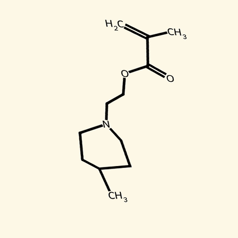 C=C(C)C(=O)OCCN1CCC(C)CC1